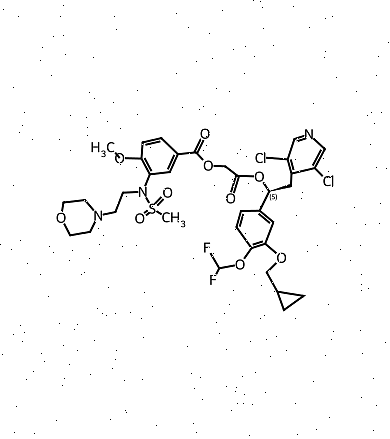 COc1ccc(C(=O)OCC(=O)O[C@@H](Cc2c(Cl)cncc2Cl)c2ccc(OC(F)F)c(OCC3CC3)c2)cc1N(CCN1CCOCC1)S(C)(=O)=O